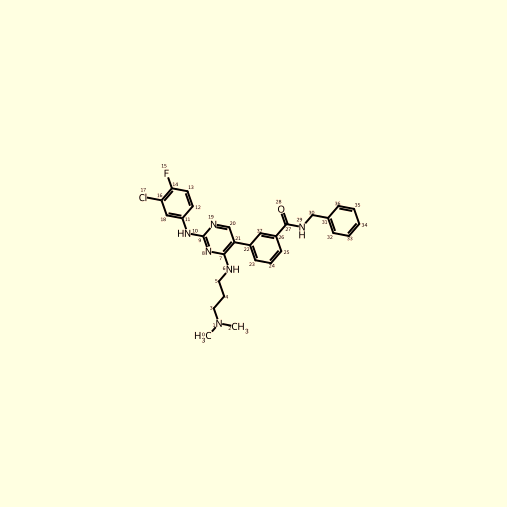 CN(C)CCCNc1nc(Nc2ccc(F)c(Cl)c2)ncc1-c1cccc(C(=O)NCc2ccccc2)c1